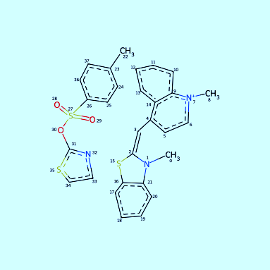 CN1C(=Cc2cc[n+](C)c3ccccc23)Sc2ccccc21.Cc1ccc(S(=O)(=O)Oc2nccs2)cc1